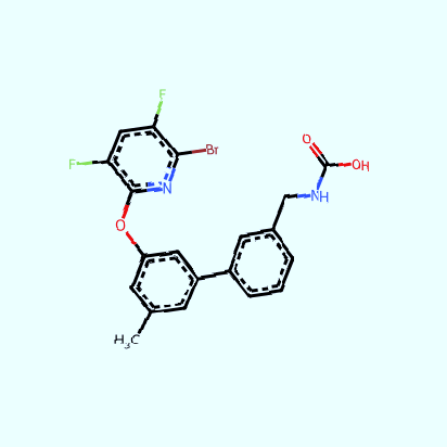 Cc1cc(Oc2nc(Br)c(F)cc2F)cc(-c2cccc(CNC(=O)O)c2)c1